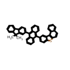 CC1(C)c2ccccc2-c2ccc(-c3c4ccccc4c(-c4ccc5sc6ccc7ccccc7c6c5c4)c4ccccc34)cc21